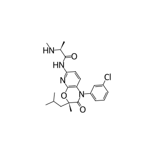 CN[C@@H](C)C(=O)Nc1ccc2c(n1)O[C@@](C)(CC(C)C)C(=O)N2c1cccc(Cl)c1